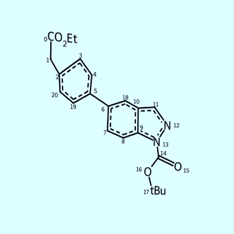 CCOC(=O)Cc1ccc(-c2ccc3c(cnn3C(=O)OC(C)(C)C)c2)cc1